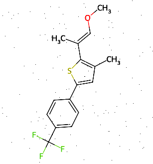 CO/C=C(\C)c1sc(-c2ccc(C(F)(F)F)cc2)cc1C